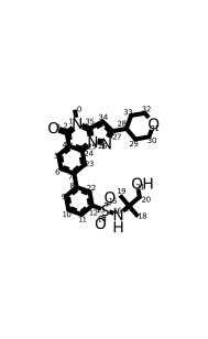 Cn1c(=O)c2ccc(-c3cccc(S(=O)(=O)NC(C)(C)CO)c3)cc2n2nc(C3CCOCC3)cc12